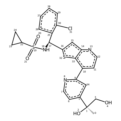 C[C@@](O)(CO)c1ccnc(-c2ccnc3cc([C@@H](NS(=O)(=O)C4CC4)c4ccccc4Cl)sc23)c1